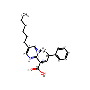 CCCCCCc1cnc(/C(=C\C(C)c2ccccc2)C(=O)O)nc1